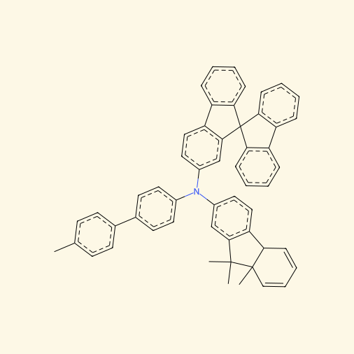 Cc1ccc(-c2ccc(N(c3ccc4c(c3)C3(c5ccccc5-c5ccccc53)c3ccccc3-4)c3ccc4c(c3)C(C)(C)C3(C)C=CC=CC43)cc2)cc1